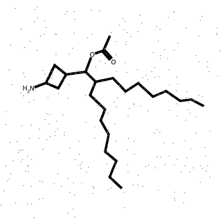 CCCCCCCCC(CCCCCCCC)C(OC(C)=O)C1CC(N)C1